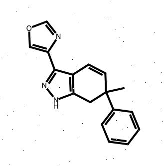 CC1(c2ccccc2)C=Cc2c(-c3cocn3)n[nH]c2C1